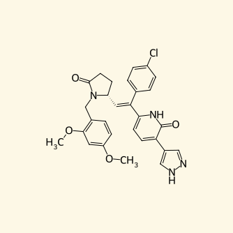 COc1ccc(CN2C(=O)CC[C@@H]2/C=C(\c2ccc(Cl)cc2)c2ccc(-c3cn[nH]c3)c(=O)[nH]2)c(OC)c1